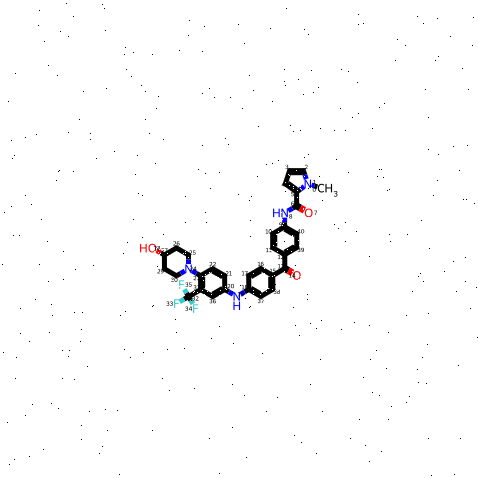 Cn1cccc1C(=O)Nc1ccc(C(=O)c2ccc(Nc3ccc(N4CCC(O)CC4)c(C(F)(F)F)c3)cc2)cc1